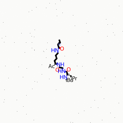 C/C=C/C(=O)NCCCC[C@H](NC(=O)CNC(=O)[C@H](CC(C)C)NC(C)CC)C(C)=O